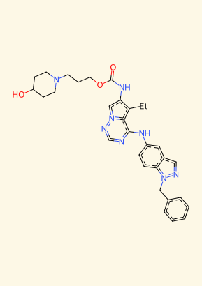 CCc1c(NC(=O)OCCCN2CCC(O)CC2)cn2ncnc(Nc3ccc4c(cnn4Cc4ccccc4)c3)c12